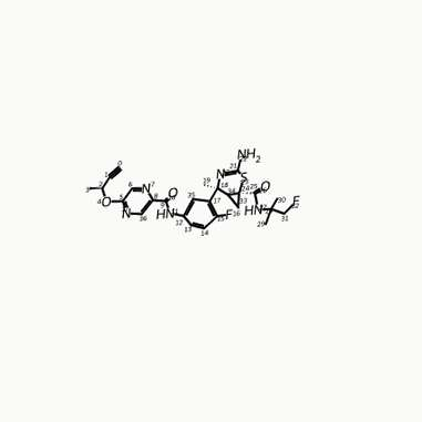 C#C[C@H](C)Oc1cnc(C(=O)Nc2ccc(F)c([C@@]3(C)N=C(N)S[C@@]4(C(=O)NC(C)(C)CF)CC43)c2)cn1